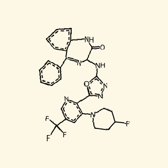 O=C1Nc2ccccc2C(c2ccccc2)=NC1Nc1nnc(-c2ncc(C(F)(F)F)cc2N2CCC(F)CC2)o1